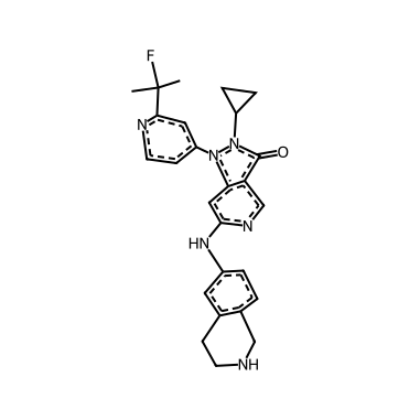 CC(C)(F)c1cc(-n2c3cc(Nc4ccc5c(c4)CCNC5)ncc3c(=O)n2C2CC2)ccn1